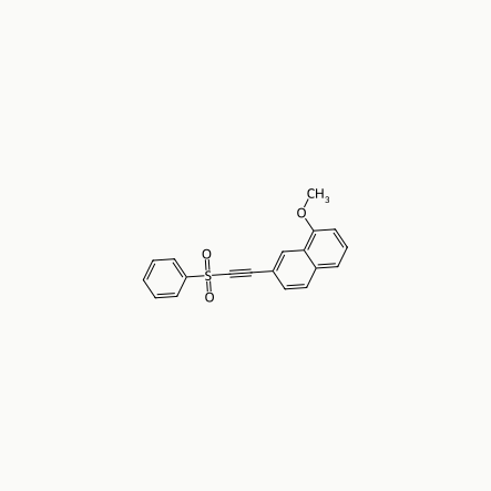 COc1cccc2ccc(C#CS(=O)(=O)c3ccccc3)cc12